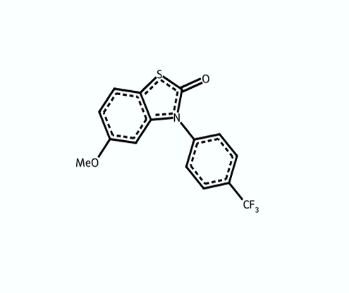 COc1ccc2sc(=O)n(-c3ccc(C(F)(F)F)cc3)c2c1